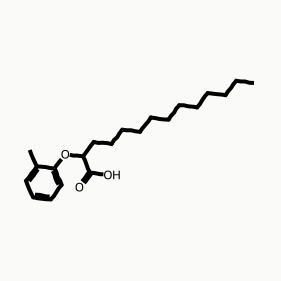 CCCCCCCCCCCCC(Oc1ccccc1C)C(=O)O